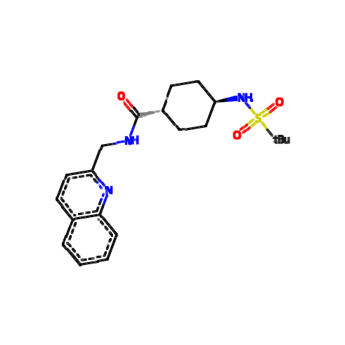 CC(C)(C)S(=O)(=O)N[C@H]1CC[C@H](C(=O)NCc2ccc3ccccc3n2)CC1